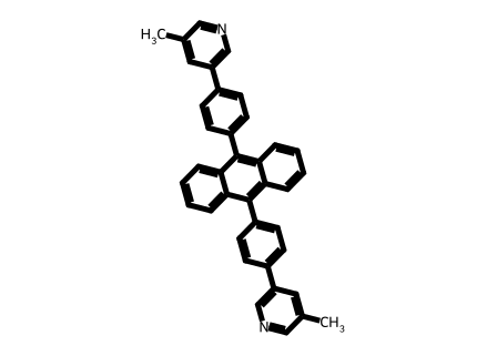 Cc1cncc(-c2ccc(-c3c4ccccc4c(-c4ccc(-c5cncc(C)c5)cc4)c4ccccc34)cc2)c1